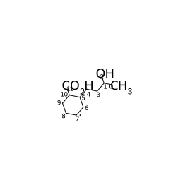 CC(O)CCC1C[CH]CCC1C(=O)O